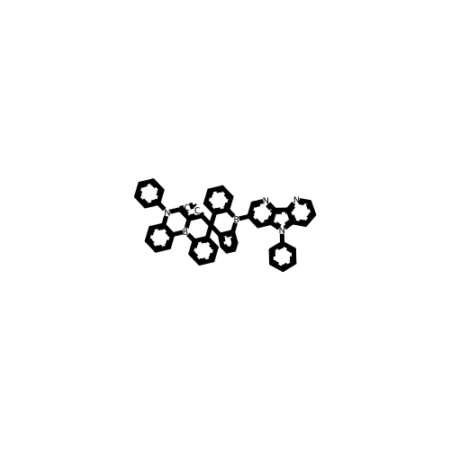 c1ccc(N2c3ccccc3B3c4ccccc4C4(c5ccccc5B(c5cnc6c7ncccc7n(-c7ccccc7)c6c5)c5ccccc54)c4cccc2c43)cc1